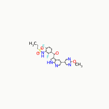 CCCS(=O)(=O)Nc1c(F)ccc(C(=O)c2c[nH]c3ncc(-c4cnc(OC)nc4)cc23)c1F